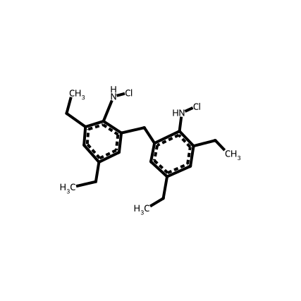 CCc1cc(CC)c(NCl)c(Cc2cc(CC)cc(CC)c2NCl)c1